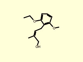 CCOc1cccc(OC)c1CC=C(C)CO